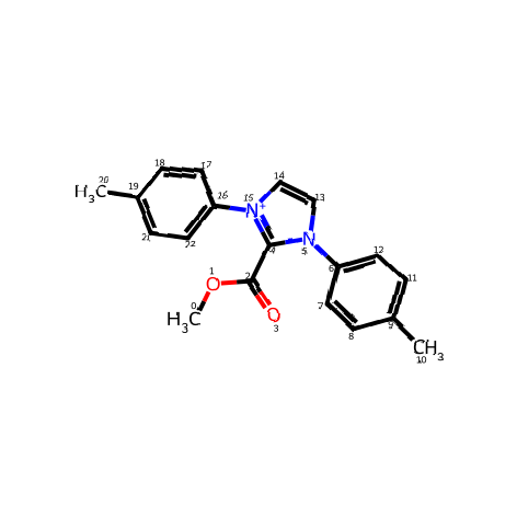 COC(=O)c1n(-c2ccc(C)cc2)cc[n+]1-c1ccc(C)cc1